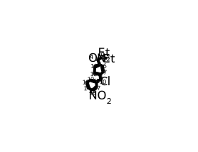 CCN(CC)C(=O)c1ccc(C(Cl)c2cccc([N+](=O)[O-])c2)cc1